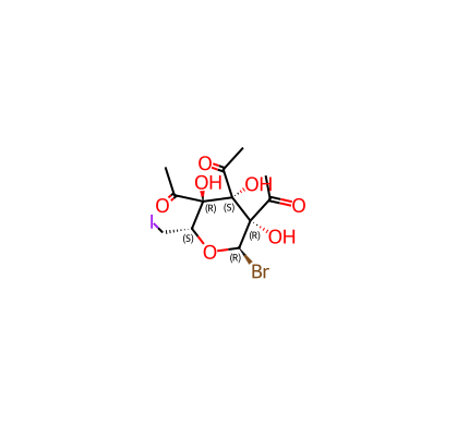 CC(=O)[C@@]1(O)[C@@](O)(C(C)=O)[C@@H](Br)O[C@H](CI)[C@]1(O)C(C)=O